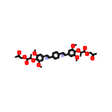 COc1cc(/C=C/c2ccc(/C=C/c3cc(OC)c(OC(C)C(=O)OCC(C)=O)c(OC)c3)cc2)cc(OC)c1OC(C)C(=O)OCC(C)=O